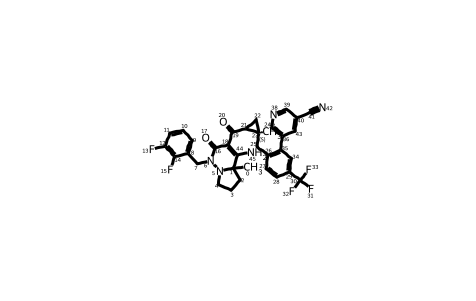 CC12CCCN1N(Cc1cccc(F)c1F)C(=O)C(C(=O)C1C[C@@]1(C)Cc1ccc(C(F)(F)F)cc1-c1cncc(C#N)c1)=C2N